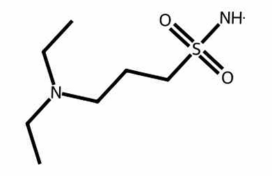 CCN(CC)CCCS([NH])(=O)=O